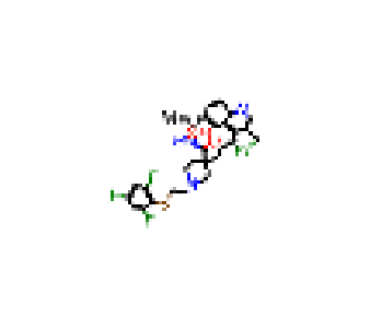 COc1ccc2ncc(CF)c([C@H](F)CCC3(C(=O)NO)CCN(CCSc4c(F)cc(F)cc4F)CC3)c2c1